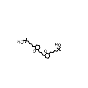 CC(C)(CO)CCCCC1CCCC(CCCC2CCCC(CCCCC(C)(C)CO)C2=O)C1=O